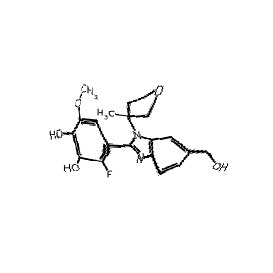 COc1cc(-c2nc3ccc(CO)cc3n2C2(C)COC2)c(F)c(O)c1O